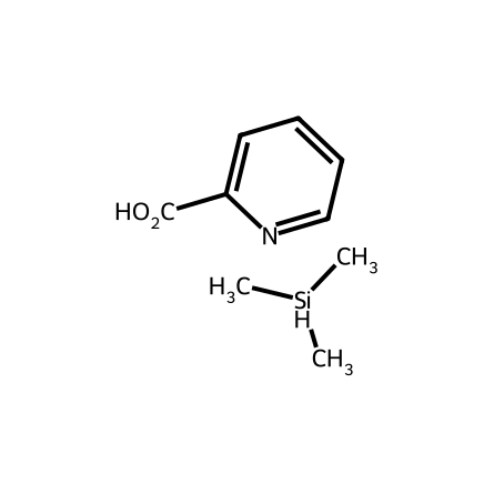 C[SiH](C)C.O=C(O)c1ccccn1